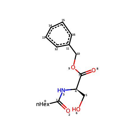 CCCCCCC(=O)N[C@H](CO)C(=O)OCc1ccccc1